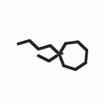 CCCC[N+]1(CC)CCCCCC1